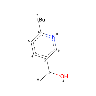 CC(O)c1ccc(C(C)(C)C)nc1